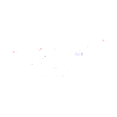 O=C1c2cccc3c(NCCCO)ccc(c23)C(=O)N1CCCO